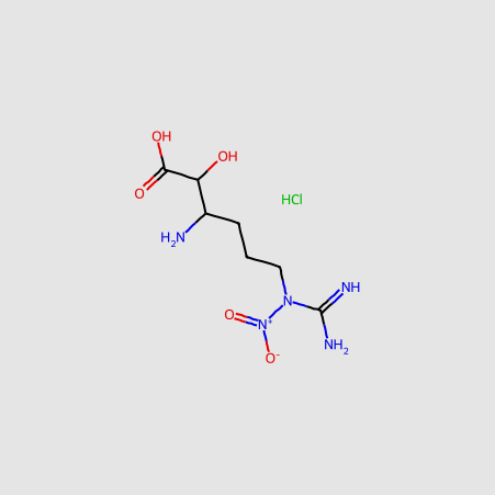 Cl.N=C(N)N(CCCC(N)C(O)C(=O)O)[N+](=O)[O-]